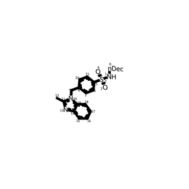 CCCCCCCCCCNS(=O)(=O)c1ccc(Cn2c(C)nc3ccccc32)cc1